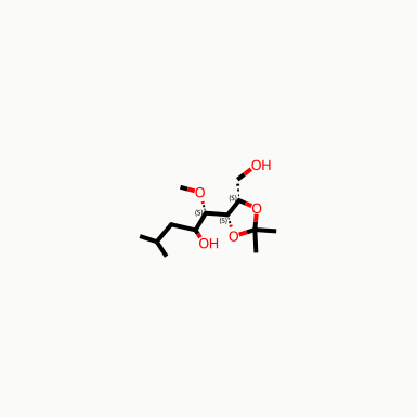 CO[C@@H](C(O)CC(C)C)[C@H]1OC(C)(C)O[C@H]1CO